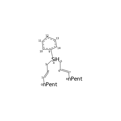 CCCCC/C=C/C[SiH](C/C=C/CCCCC)c1ccccc1